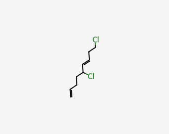 C=CCCC(Cl)C=CCCCl